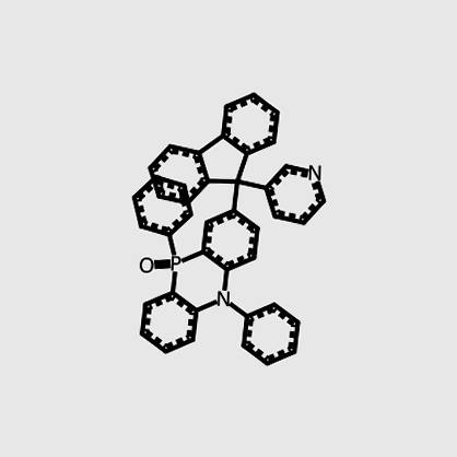 O=P1(c2ccccc2)c2ccccc2N(c2ccccc2)c2ccc(C3(c4cccnc4)c4ccccc4-c4ccccc43)cc21